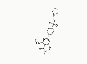 CCNc1nc(-c2ccc(S(=O)(=O)CCN3CCCC3)cc2)cc2ncn(C)c(=O)c12